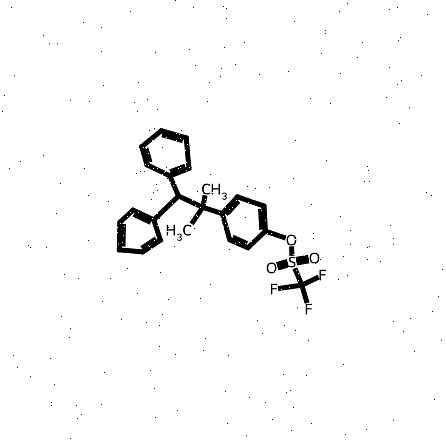 CC(C)(c1ccc(OS(=O)(=O)C(F)(F)F)cc1)C(c1ccccc1)c1ccccc1